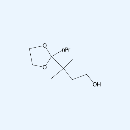 CCCC1(C(C)(C)CCO)OCCO1